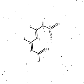 CC(=N)/C=C(C)\N=C(/C)N[SH](=O)=O